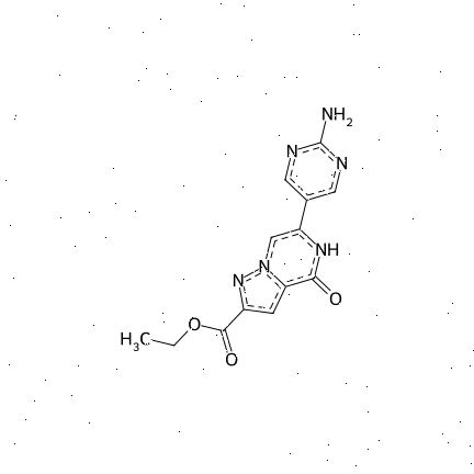 CCOC(=O)c1cc2c(=O)[nH]c(-c3cnc(N)nc3)cn2n1